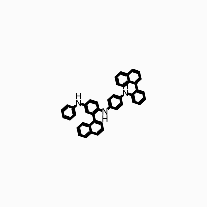 c1ccc(Nc2ccc(Nc3ccc(Nc4ccccc4-c4cccc5ccccc45)cc3)c(-c3cccc4ccccc34)c2)cc1